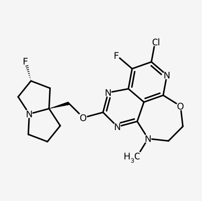 CN1CCOc2nc(Cl)c(F)c3nc(OC[C@@]45CCCN4C[C@H](F)C5)nc1c23